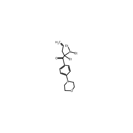 C=CCC(CC)(C(=O)c1ccc(N2CCOCC2)cc1)N(CC)CC